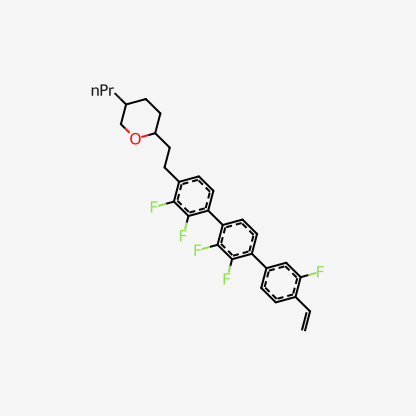 C=Cc1ccc(-c2ccc(-c3ccc(CCC4CCC(CCC)CO4)c(F)c3F)c(F)c2F)cc1F